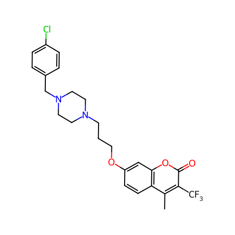 Cc1c(C(F)(F)F)c(=O)oc2cc(OCCCN3CCN(Cc4ccc(Cl)cc4)CC3)ccc12